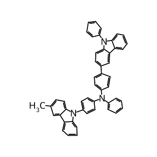 Cc1ccc2c(c1)c1ccccc1n2-c1ccc(N(c2ccccc2)c2ccc(-c3ccc4c(c3)c3ccccc3n4-c3ccccc3)cc2)cc1